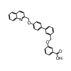 O=C(O)c1cccc(OCc2cccc(-c3ccc(OCc4ccc5ccccc5n4)cc3)c2)c1